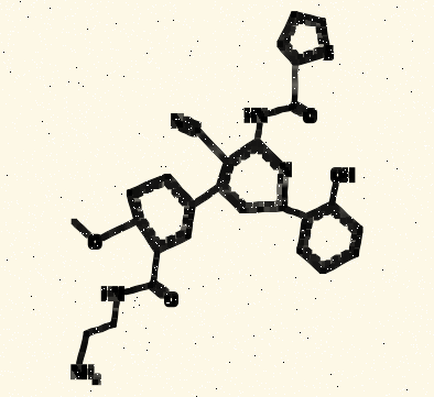 COc1ccc(-c2cc(-c3ccccc3O)nc(NC(=O)c3cccs3)c2C#N)cc1C(=O)NCCN